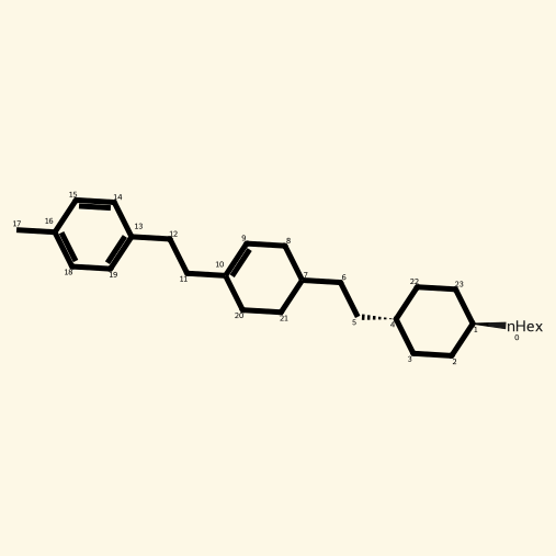 CCCCCC[C@H]1CC[C@H](CCC2CC=C(CCc3ccc(C)cc3)CC2)CC1